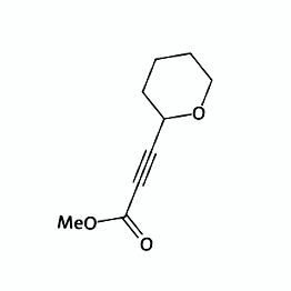 COC(=O)C#CC1CCCCO1